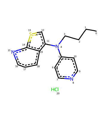 CCCCN(c1ccncc1)c1csc2ncccc12.Cl